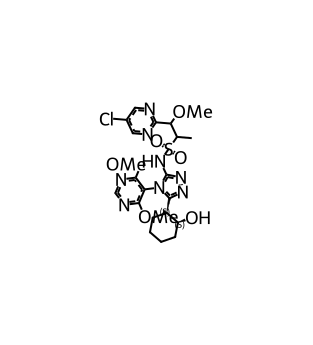 COc1ncnc(OC)c1-n1c(NS(=O)(=O)C(C)C(OC)c2ncc(Cl)cn2)nnc1[C@@H]1CCCC[C@@H]1O